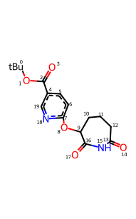 CC(C)(C)OC(=O)c1ccc(OC2CCCC(=O)NC2=O)nc1